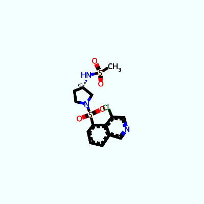 CS(=O)(=O)N[C@H]1CCN(S(=O)(=O)c2cccc3cncc(Cl)c23)C1